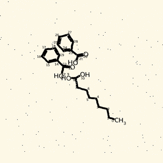 CCCCCCCCC(O)O.O=C(O)c1ccccc1.O=C(O)c1ccccc1